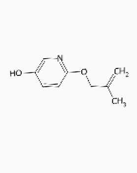 C=C(C)COc1ccc(O)cn1